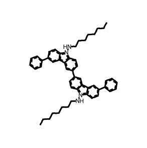 CCCCCCCCNn1c2ccc(-c3ccccc3)cc2c2cc(-c3ccc4c(c3)c3cc(-c5ccccc5)ccc3n4NCCCCCCCC)ccc21